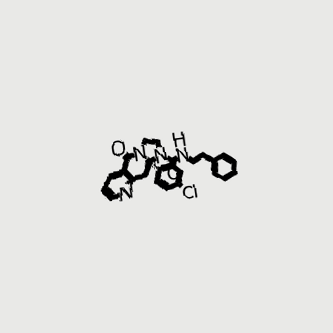 O=C(NCCc1ccccc1)N1CCN2C(=O)c3cccnc3C[C@]12c1ccc(Cl)cc1